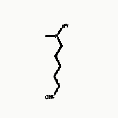 CCCN(C)CCCCCC=O